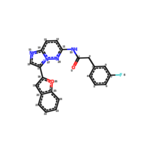 O=C(Cc1cccc(F)c1)Nc1ccc2ncc(-c3cc4ccccc4o3)n2n1